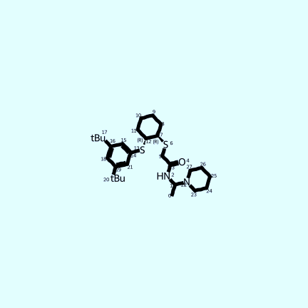 CC(NC(=O)CS[C@@H]1CCCC[C@H]1Sc1cc(C(C)(C)C)cc(C(C)(C)C)c1)N1CCCCC1